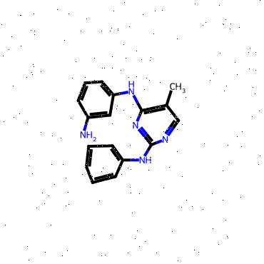 Cc1cnc(Nc2ccccc2)nc1Nc1cccc(N)c1